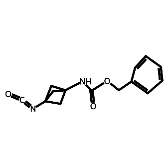 O=C=NC12CC(NC(=O)OCc3ccccc3)(C1)C2